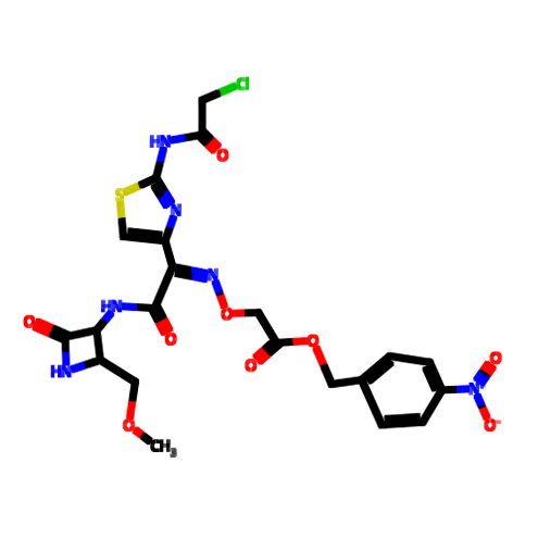 COCC1NC(=O)C1NC(=O)/C(=N\OCC(=O)OCc1ccc([N+](=O)[O-])cc1)c1csc(NC(=O)CCl)n1